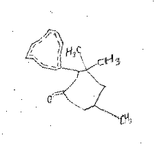 CC1CC(=O)C(c2ccccc2)C(C)(C)C1